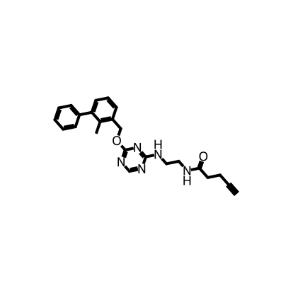 C#CCCC(=O)NCCNc1ncnc(OCc2cccc(-c3ccccc3)c2C)n1